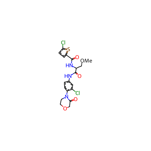 COCC(NC(=O)c1ccc(Cl)s1)C(=O)Nc1ccc(N2CCOCC2=O)c(Cl)c1